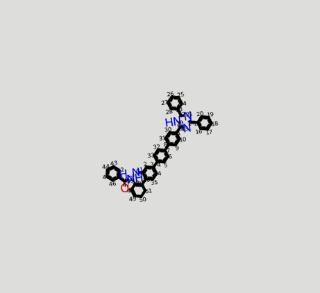 Nc1cc(-c2ccc(-c3ccc(C4=NC(c5ccccc5)=NC(c5ccccc5)N4)cc3)cc2)ccc1C1=C2NC(c3ccccc3)OC2=CCC1